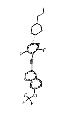 CCC[C@H]1CC[C@H](c2cc(F)c(C#Cc3ccc4cc(OC(F)(F)F)ccc4c3)c(F)c2)CC1